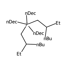 CCCCCCCCCCP(CCCCCCCCCC)(CCCCCCCCCC)(CC(CC)CCCC)CC(CC)CCCC